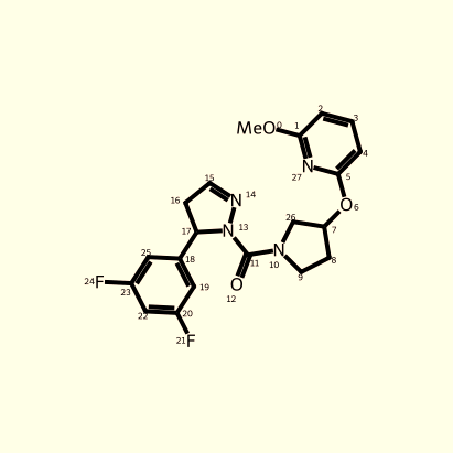 COc1cccc(OC2CCN(C(=O)N3N=CCC3c3cc(F)cc(F)c3)C2)n1